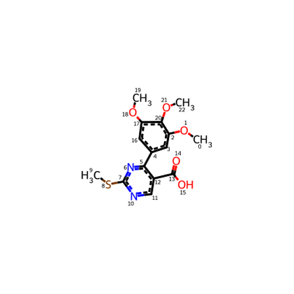 COc1cc(-c2nc(SC)ncc2C(=O)O)cc(OC)c1OC